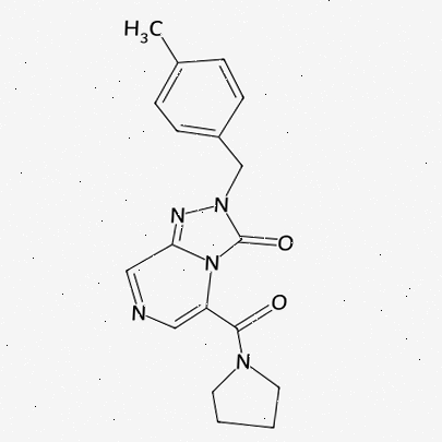 Cc1ccc(Cn2nc3cncc(C(=O)N4CCCC4)n3c2=O)cc1